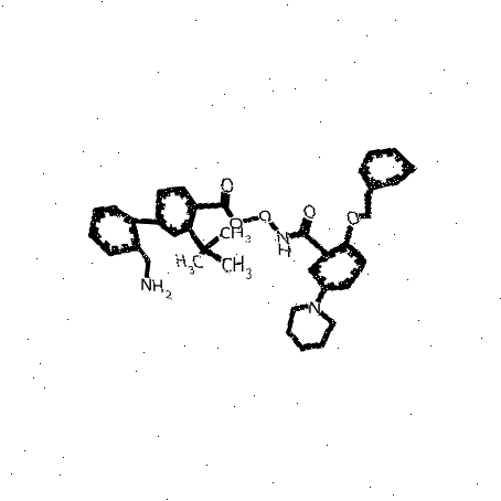 CC(C)(C)c1cc(-c2ccccc2CN)ccc1C(=O)OONC(=O)c1cc(N2CCCCC2)ccc1OCc1ccccc1